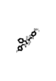 CN(Cc1ccc(F)cc1)C(=O)[C@@H](NC(=O)c1nc2ccc(N)cc2s1)c1ccccc1